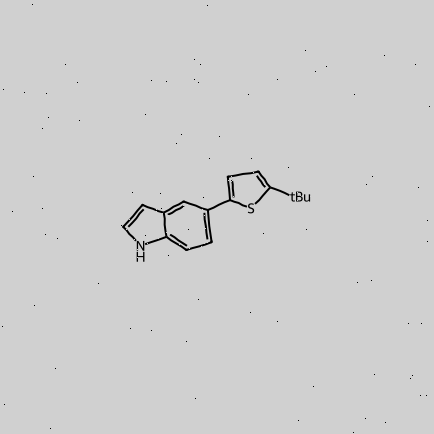 CC(C)(C)c1ccc(-c2ccc3[nH]ccc3c2)s1